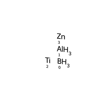 B.[AlH3].[Ti].[Zn]